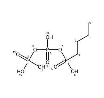 CCCCP(=O)(O)OP(=O)(O)OP(=O)(O)O